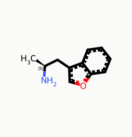 C[C@H](N)Cc1coc2ccccc12